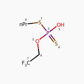 CCCSP(O)(=S)OCC(F)(F)F